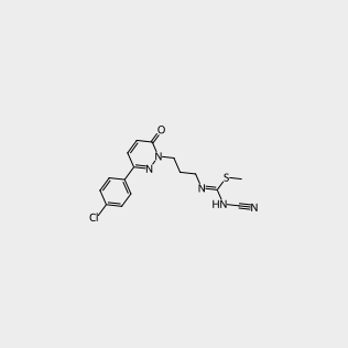 CSC(=NCCCn1nc(-c2ccc(Cl)cc2)ccc1=O)NC#N